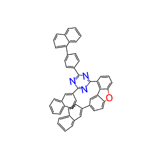 c1ccc2cc(-c3ccc4oc5cccc(-c6nc(-c7ccc(-c8cccc9ccccc89)cc7)nc(-c7ccc8ccccc8c7)n6)c5c4c3)ccc2c1